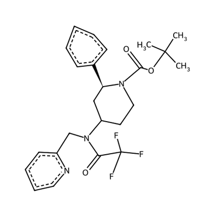 CC(C)(C)OC(=O)N1CCC(N(Cc2ccccn2)C(=O)C(F)(F)F)C[C@H]1c1ccccc1